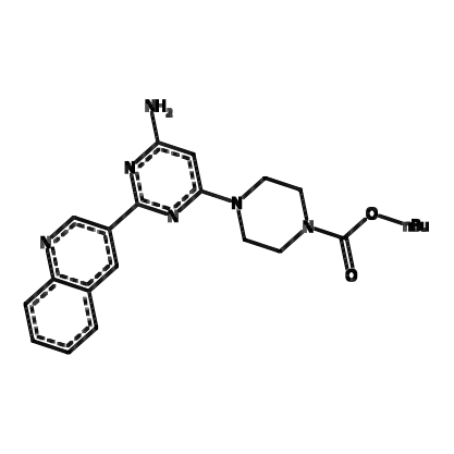 CCCCOC(=O)N1CCN(c2cc(N)nc(-c3cnc4ccccc4c3)n2)CC1